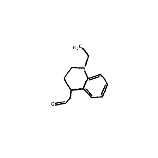 CCN1CCC(C=O)c2ccccc21